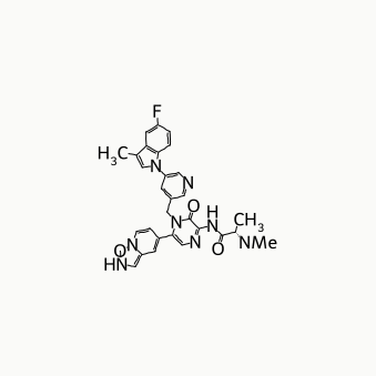 CN[C@@H](C)C(=O)Nc1ncc(C2=CC3=CNON3C=C2)n(Cc2cncc(-n3cc(C)c4cc(F)ccc43)c2)c1=O